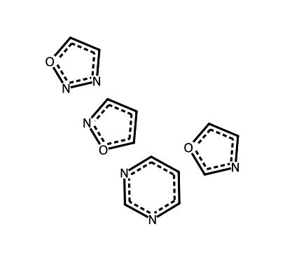 c1cncnc1.c1cnoc1.c1cocn1.c1conn1